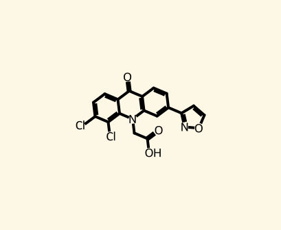 O=C(O)Cn1c2cc(-c3ccon3)ccc2c(=O)c2ccc(Cl)c(Cl)c21